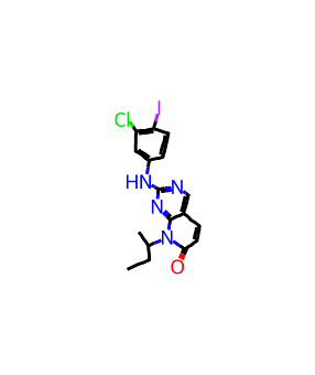 CCC(C)n1c(=O)ccc2cnc(Nc3ccc(I)c(Cl)c3)nc21